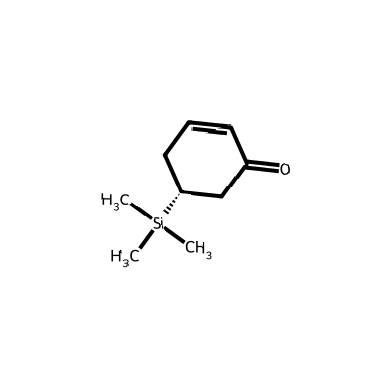 C[Si](C)(C)[C@@H]1CC=CC(=O)C1